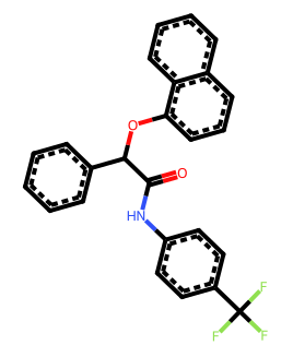 O=C(Nc1ccc(C(F)(F)F)cc1)C(Oc1cccc2ccccc12)c1ccccc1